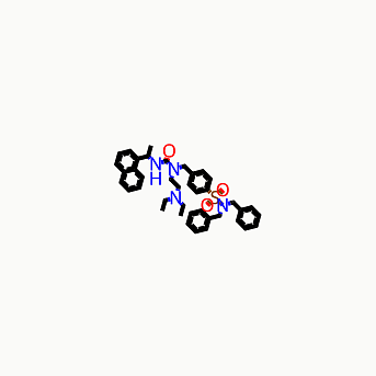 CCN(CC)CCN(Cc1ccc(S(=O)(=O)N(Cc2ccccc2)Cc2ccccc2)cc1)C(=O)NC(C)c1cccc2ccccc12